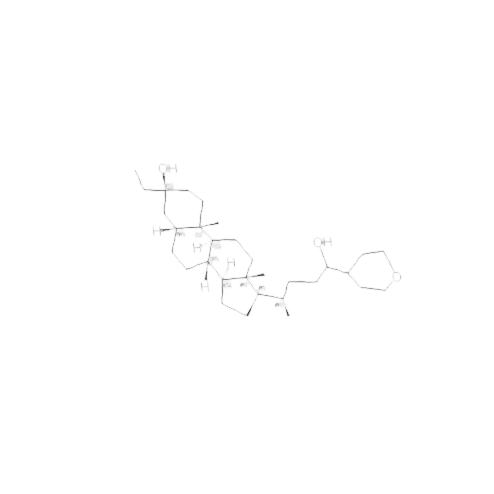 CC[C@]1(O)CC[C@@]2(C)[C@H](CC[C@@H]3[C@@H]2CC[C@]2(C)[C@@H]([C@H](C)CCC(O)C4CCOCC4)CC[C@@H]32)C1